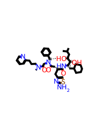 CC(C)C[C@H](O)[C@H](O)[C@H](CC1CCCCC1)NC(=O)[C@@H](CC(=O)N(CC(=O)N(C)CCCc1ccccn1)[C@@H](C)c1ccccc1)Cc1csc(N)n1